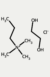 CCC[N+](C)(C)C.OCCO.[Cl-]